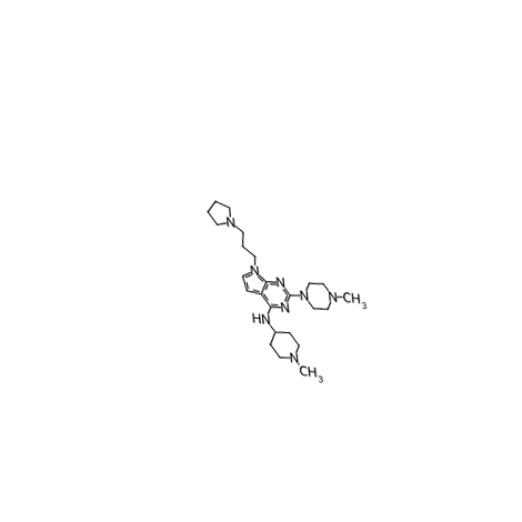 CN1CCC(Nc2nc(N3CCN(C)CC3)nc3c2ccn3CCCN2CCCC2)CC1